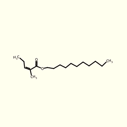 CCC=C(C)C(=O)OCCCCCCCCCCC